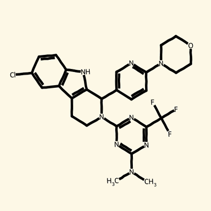 CN(C)c1nc(N2CCc3c([nH]c4ccc(Cl)cc34)C2c2ccc(N3CCOCC3)nc2)nc(C(F)(F)F)n1